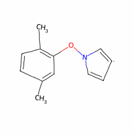 Cc1ccc(C)c(On2c[c]cc2)c1